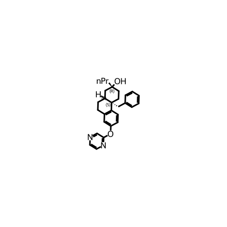 CCC[C@@]1(O)CC[C@@]2(Cc3ccccc3)c3ccc(Oc4cnccn4)cc3CC[C@@H]2C1